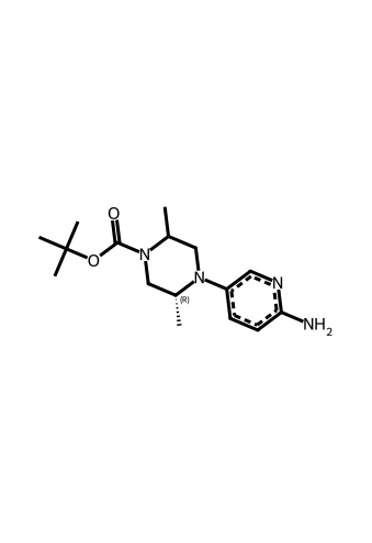 CC1CN(c2ccc(N)nc2)[C@H](C)CN1C(=O)OC(C)(C)C